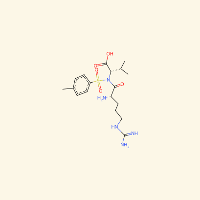 Cc1ccc(S(=O)(=O)N(C(=O)[C@@H](N)CCCNC(=N)N)[C@H](C(=O)O)C(C)C)cc1